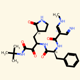 CN/C=C(\C=N)C(=O)N[C@@H](Cc1ccccc1)C(=O)NC(C[C@@H]1CCNC1=O)C(=O)C(=O)NC(C)(C)C